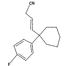 N#CCC=CC1(c2ccc(F)cc2)CCCCC1